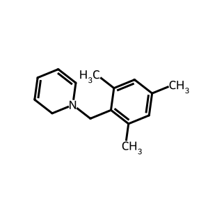 Cc1cc(C)c(CN2C=CC=CC2)c(C)c1